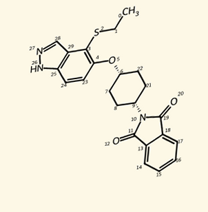 CCSc1c(O[C@H]2CC[C@@H](N3C(=O)c4ccccc4C3=O)CC2)ccc2[nH]ncc12